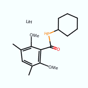 COc1c(C)cc(C)c(OC)c1C(=O)PC1CCCCC1.[LiH]